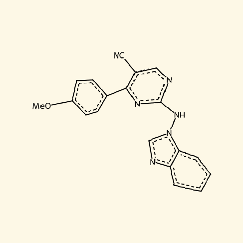 COc1ccc(-c2nc(Nn3cnc4ccccc43)ncc2C#N)cc1